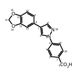 O=C(O)c1ccc(-n2cc(-c3ccc4c(c3)OCO4)cn2)cc1